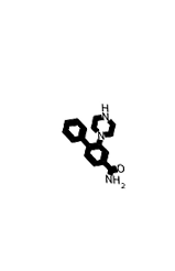 NC(=O)c1ccc(-c2ccccc2)c(N2CCNCC2)c1